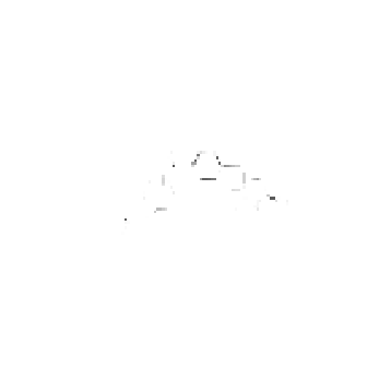 O=C(O)CN1CCN(C(=O)c2ccc(CN3CC(=O)NS3(=O)=O)cc2)CC1